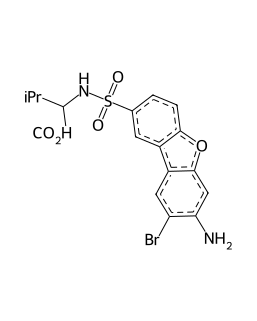 CC(C)C(NS(=O)(=O)c1ccc2oc3cc(N)c(Br)cc3c2c1)C(=O)O